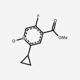 COC(=O)c1cc(C2CC2)[n+]([O-])cc1F